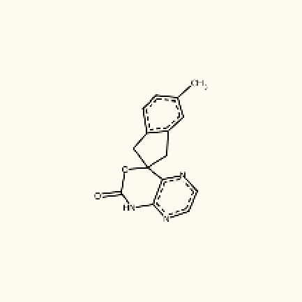 Cc1ccc2c(c1)CC1(C2)OC(=O)Nc2nccnc21